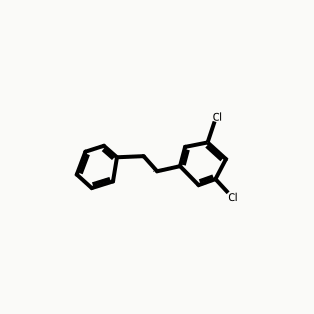 Clc1cc(Cl)cc([CH]Cc2ccccc2)c1